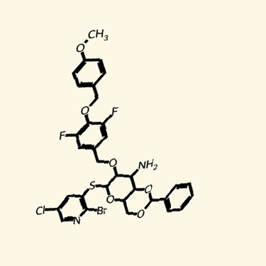 COc1ccc(COc2c(F)cc(COC3C(Sc4cc(Cl)cnc4Br)OC4COC(c5ccccc5)OC4C3N)cc2F)cc1